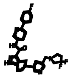 O=C(Nc1ccc(-c2ccc(F)cc2)nc1)c1n[nH]c2ccc(-c3cncc(CN4CCC(F)(F)C4)c3)cc12